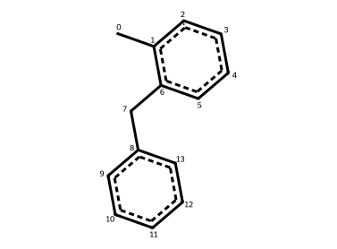 Cc1[c]cccc1Cc1ccccc1